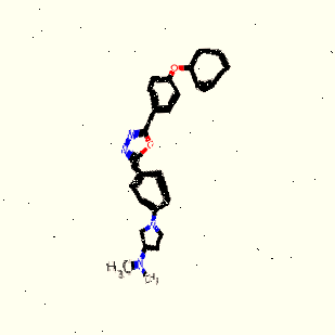 CN(C)C1CCN(c2ccc(-c3nnc(-c4ccc(OC5C=CCCC5)cc4)o3)cc2)C1